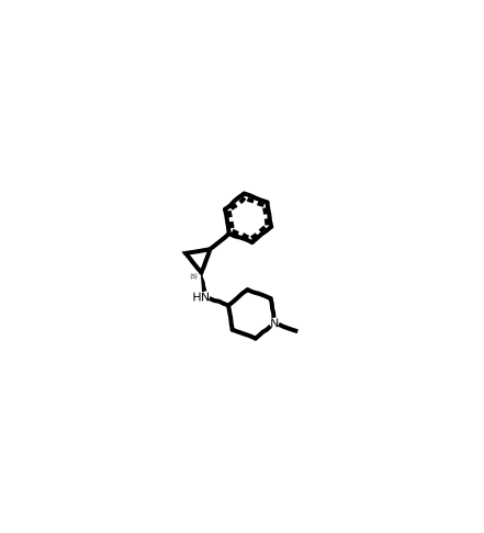 CN1CCC(N[C@H]2CC2c2ccccc2)CC1